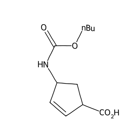 CCCCOC(=O)NC1C=CC(C(=O)O)C1